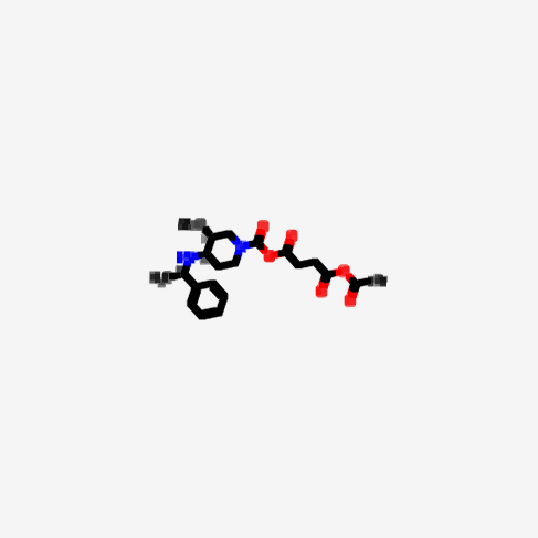 CCCC(=O)OC(=O)CCC(=O)OC(=O)N1CC[C@@H](N[C@H](C)c2ccccc2)[C@@H](OC)C1